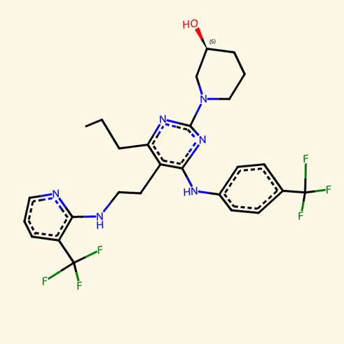 CCCc1nc(N2CCC[C@H](O)C2)nc(Nc2ccc(C(F)(F)F)cc2)c1CCNc1ncccc1C(F)(F)F